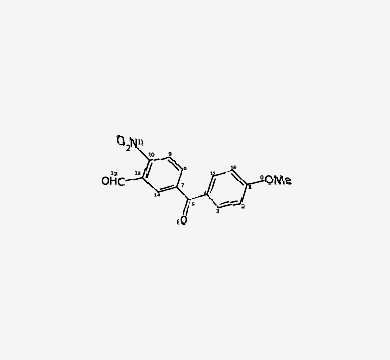 COc1ccc(C(=O)c2ccc([N+](=O)[O-])c(C=O)c2)cc1